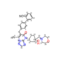 CCCc1c(Cc2ccc(-c3ccccc3C#N)cc2)c(=O)n([C@H]2CC[C@](O)(CN3CCOCC3)CC2)c2ncnn12